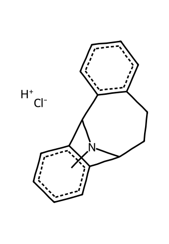 CN1C2CCc3ccccc3C1c1ccccc12.[Cl-].[H+]